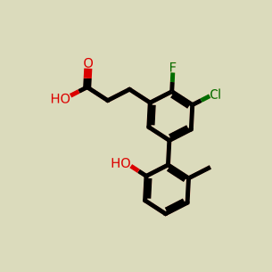 Cc1cccc(O)c1-c1cc(Cl)c(F)c(CCC(=O)O)c1